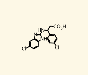 O=C(O)CC(Nc1nc2cc(Cl)ccc2[nH]1)c1ccc(Cl)cc1